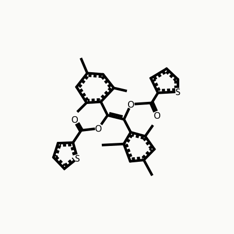 Cc1cc(C)c(/C(OC(=O)c2cccs2)=C(\OC(=O)c2cccs2)c2c(C)cc(C)cc2C)c(C)c1